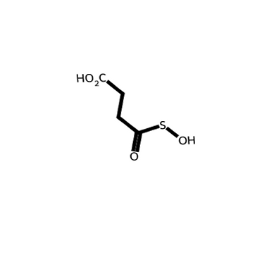 O=C(O)CCC(=O)SO